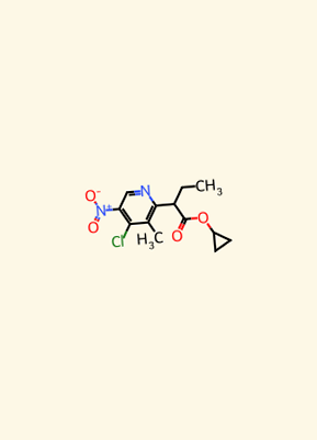 CCC(C(=O)OC1CC1)c1ncc([N+](=O)[O-])c(Cl)c1C